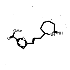 COC(=O)c1ccc(C=CCC2CCCCC(=N)N2)s1